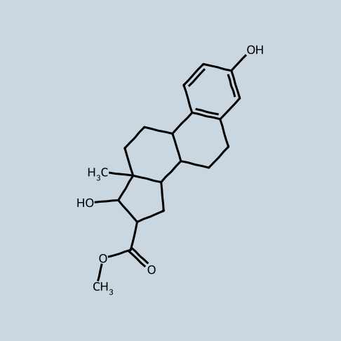 COC(=O)C1CC2C3CCc4cc(O)ccc4C3CCC2(C)C1O